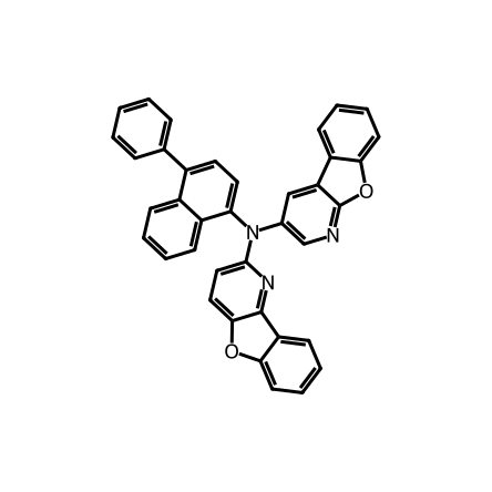 c1ccc(-c2ccc(N(c3cnc4oc5ccccc5c4c3)c3ccc4oc5ccccc5c4n3)c3ccccc23)cc1